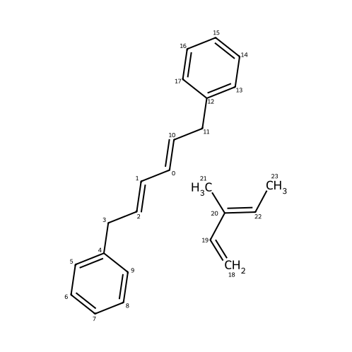 C(C=CCc1ccccc1)=CCc1ccccc1.C=CC(C)=CC